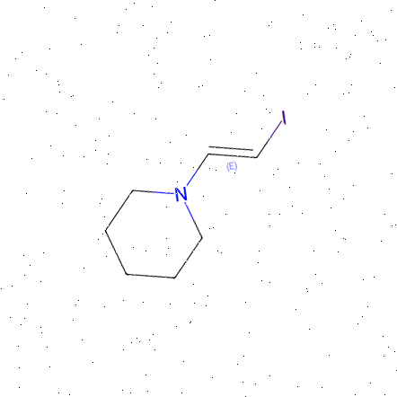 I/C=C/N1CCCCC1